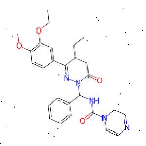 CCOc1cc(C2=NN(C(NC(=O)N3C=CN=CC3)c3ccccc3)C(=O)CC2CC)ccc1OC